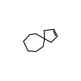 C1=CCC2(C1)CCCCCC2